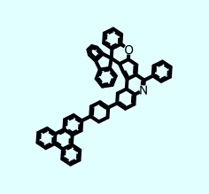 C1=C(C2=CC=C3N=C(c4ccccc4)C4=CC5Oc6ccccc6C6(c7ccccc7-c7ccccc76)C5C=C4C3C2)CCC(c2ccc3c4ccccc4c4ccccc4c3c2)=C1